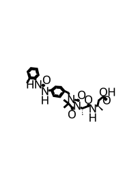 Cc1ccccc1NC(=O)Nc1ccc(CN2C(=O)N([C@@H](C)C(=O)N[C@H](C)CC(=O)O)C(=O)C2(C)C)cc1